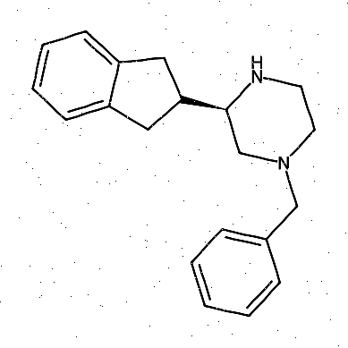 c1ccc(CN2CCN[C@H](C3Cc4ccccc4C3)C2)cc1